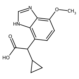 COc1ccc(C(C(=O)O)C2CC2)c2[nH]cnc12